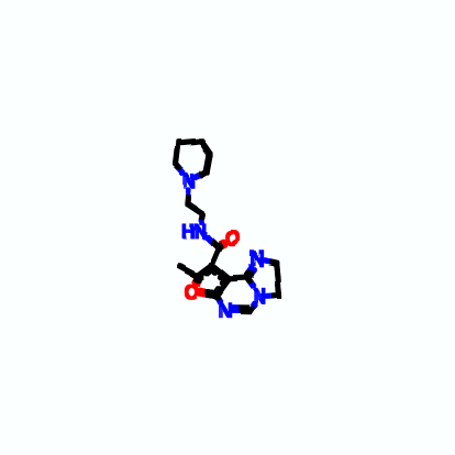 Cc1oc2c(c1C(=O)NCCN1CCCCC1)C1=NCCN1C=N2